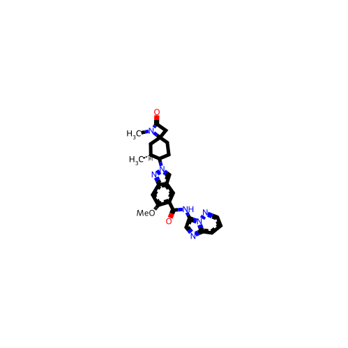 COc1cc2nn(C3CCC4(CC(=O)N4C)C[C@H]3C)cc2cc1C(=O)Nc1cnc2cccnn12